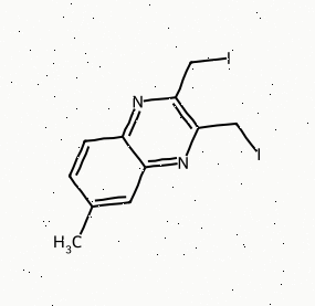 Cc1ccc2nc(CI)c(CI)nc2c1